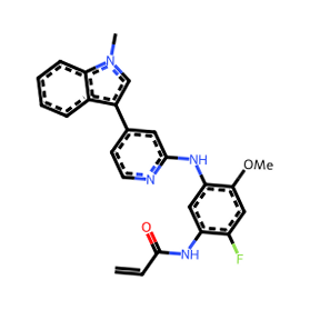 C=CC(=O)Nc1cc(Nc2cc(-c3cn(C)c4ccccc34)ccn2)c(OC)cc1F